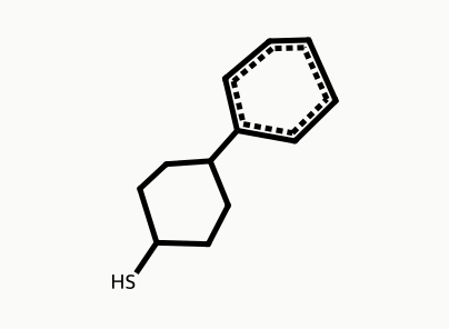 SC1CCC(c2ccccc2)CC1